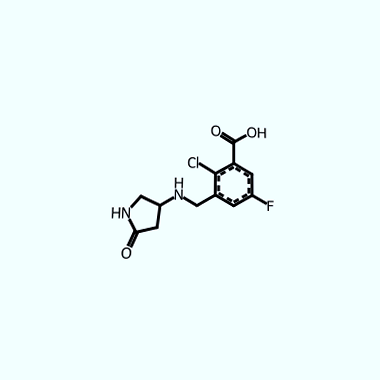 O=C1CC(NCc2cc(F)cc(C(=O)O)c2Cl)CN1